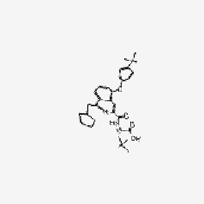 CC(C)(C)C[C@H](NC(=O)c1cc2c(Oc3ccc(C(C)(C)C)cc3)cccc2c(CC2CCCC2)n1)C(=O)O